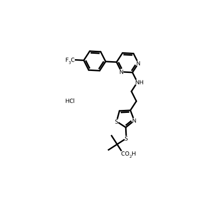 CC(C)(Sc1nc(CCNc2nccc(-c3ccc(C(F)(F)F)cc3)n2)cs1)C(=O)O.Cl